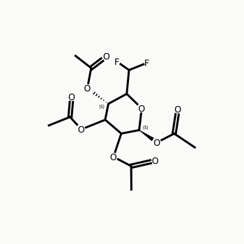 CC(=O)OC1C(OC(C)=O)[C@H](OC(C)=O)C(C(F)F)O[C@H]1OC(C)=O